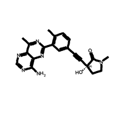 Cc1ccc(C#C[C@]2(O)CCN(C)C2=O)cc1-c1nc(C)c2ncnc(N)c2n1